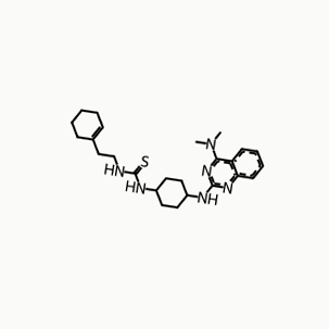 CN(C)c1nc(NC2CCC(NC(=S)NCCC3=CCCCC3)CC2)nc2ccccc12